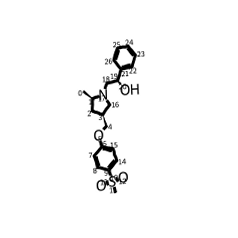 C[C@@H]1C[C@H](COc2ccc(S(C)(=O)=O)cc2)CN1C[C@H](O)c1ccccc1